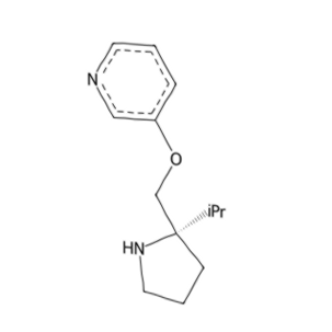 CC(C)[C@]1(COc2cccnc2)CCCN1